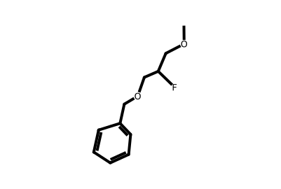 COCC(F)COCc1ccccc1